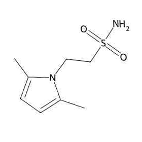 Cc1ccc(C)n1CCS(N)(=O)=O